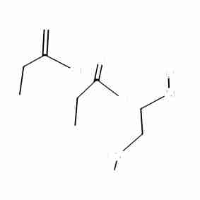 CCC(=O)O.CCC(=O)O.CCNCCNCC